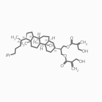 C=C(CO)C(=O)OCC(COC(=O)C(=C)CO)[C@H]1CC[C@@]2(C)[C@@H](CC[C@@H]3[C@@H]2CC[C@]2(C)[C@@H]([C@H](C)CCCC(C)C)CC[C@@H]32)C1